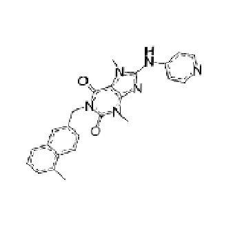 Cc1cccc2cc(Cn3c(=O)c4c(nc(Nc5ccncc5)n4C)n(C)c3=O)ccc12